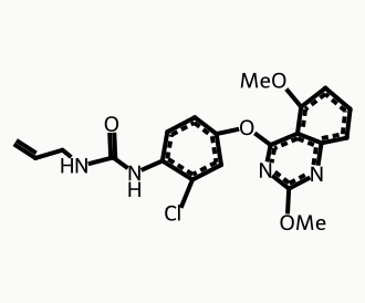 C=CCNC(=O)Nc1ccc(Oc2nc(OC)nc3cccc(OC)c23)cc1Cl